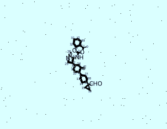 C[C@@H](OC(=O)Nc1c(-c2ccc(-c3ccc(C4(C=O)CC4)cc3)c(F)c2)cnn1C)c1ccccc1